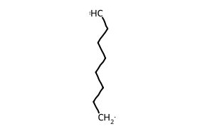 [CH]CCCCCC[CH2]